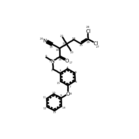 CN(Cc1cccc(Oc2ccccc2)c1)C(=O)C(C#N)C(C)(C)CC=C(Cl)Cl